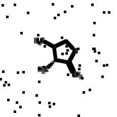 C=C1OCC(C)[C@H]1C